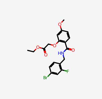 CCOC(=O)COc1cc(OC)ccc1C(=O)NCc1ccc(Br)cc1F